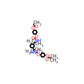 C=CC(=O)Oc1ccc(OC(=O)NC(C)(C)c2cccc(C(C)(C)NC(=O)Oc3ccc(OC(=O)C(=C)C)cc3)c2)cc1